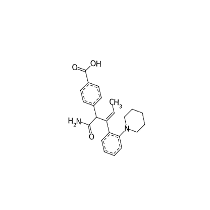 CC=C(c1ccccc1N1CCCCC1)C(C(N)=O)c1ccc(C(=O)O)cc1